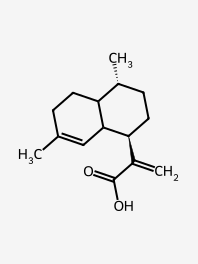 C=C(C(=O)O)[C@@H]1CC[C@@H](C)C2CCC(C)=CC21